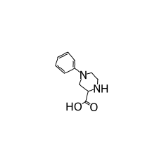 O=C(O)C1CN(c2ccccc2)CCN1